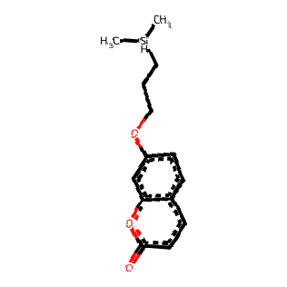 C[SiH](C)CCCOc1ccc2ccc(=O)oc2c1